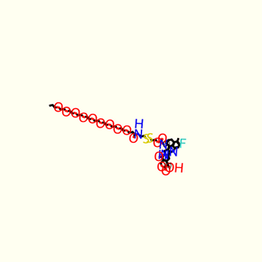 CCCOCCOCCOCCOCCOCCOCCOCCOCCOCCC(=O)NCCSSCCOC(=O)N[C@H]1CCc2c(C)c(F)cc3nc4c(c1c23)Cn1c-4cc2c(c1=O)COC(=O)[C@@]2(C)O